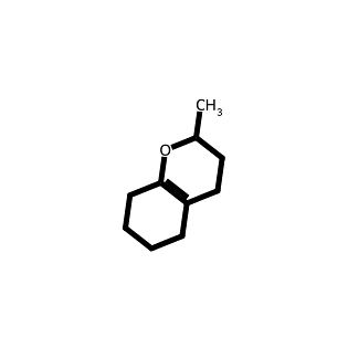 CC1CCC2=C(CCCC2)O1